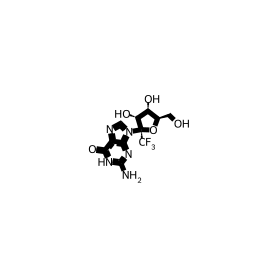 Nc1nc2c(ncn2[C@]2(C(F)(F)F)O[C@H](CO)[C@@H](O)[C@H]2O)c(=O)[nH]1